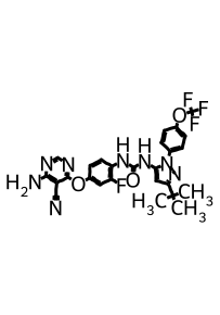 CC(C)(C)c1cc(NC(=O)Nc2ccc(Oc3ncnc(N)c3C#N)cc2F)n(-c2ccc(OC(F)(F)F)cc2)n1